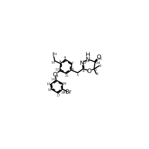 CC1(C)OC(Cc2ccc(CI)c(Oc3cccc(Br)c3)c2)=NNC1=O